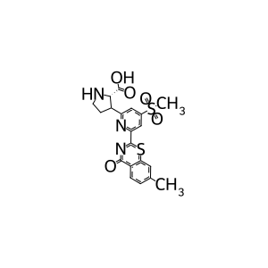 Cc1ccc2c(=O)nc(-c3cc(S(C)(=O)=O)cc(C4CCN[C@@H]4C(=O)O)n3)sc2c1